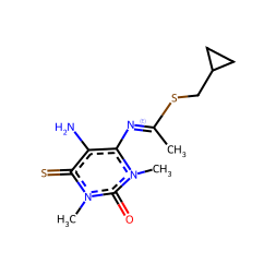 C/C(=N\c1c(N)c(=S)n(C)c(=O)n1C)SCC1CC1